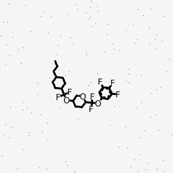 CCCC1CCC(C(F)(F)OC2CCC(C(F)(F)Oc3cc(F)c(F)c(F)c3)OC2)CC1